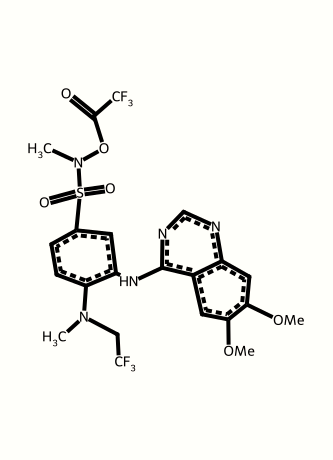 COc1cc2ncnc(Nc3cc(S(=O)(=O)N(C)OC(=O)C(F)(F)F)ccc3N(C)CC(F)(F)F)c2cc1OC